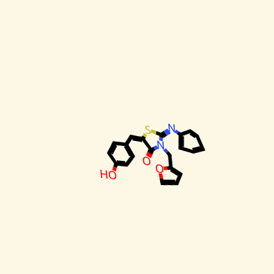 O=C1/C(=C\c2ccc(O)cc2)S/C(=N/c2ccccc2)N1Cc1ccco1